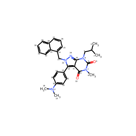 CC(C)Cn1c(=O)n(C)c(=O)c2c(-c3ccc(N(C)C)cc3)n(Cc3cccc4ccccc34)nc21